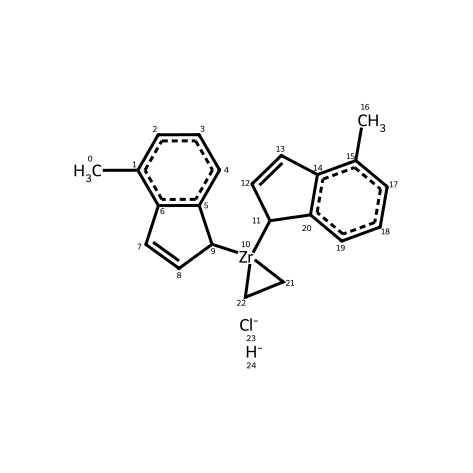 Cc1cccc2c1C=C[CH]2[Zr]1([CH]2C=Cc3c(C)cccc32)[CH2][CH2]1.[Cl-].[H-]